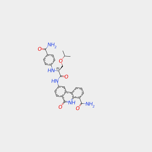 CC(C)OC[C@H](Nc1ccc(C(N)=O)cc1)C(=O)Nc1ccc2c(=O)[nH]c3c(C(N)=O)cccc3c2c1